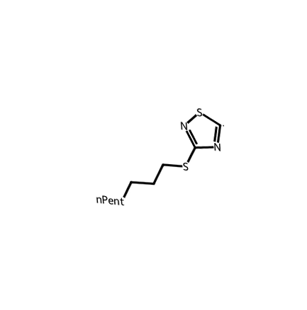 CCCCCCCCSc1n[c]sn1